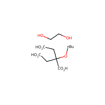 CCCCOC(CC(=O)O)(CC(=O)O)C(=O)O.OCCO